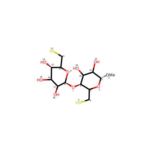 CO[C@@H]1OC(CS)[C@@H](O[C@@H]2OC(CS)[C@H](O)C(O)C2O)C(O)C1O